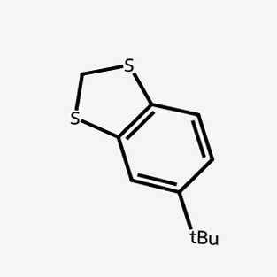 CC(C)(C)c1ccc2c(c1)SCS2